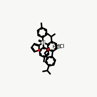 Cl.Cl.[CH2]=[Ti]([C]1=CC=CC1)([c]1ccc(C)cc1)([c]1ccc(C)cc1)[c]1c(C(C)C)ccc2c1Cc1cc(C(C)C)ccc1-2